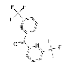 O=C(c1cccc(C(F)(F)F)n1)c1cccc(C(F)(F)F)n1